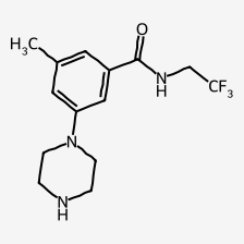 Cc1cc(C(=O)NCC(F)(F)F)cc(N2CCNCC2)c1